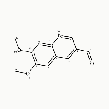 COc1cc2cc(C=O)cnc2cc1OC